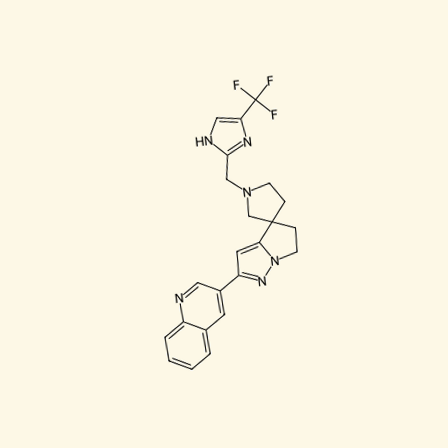 FC(F)(F)c1c[nH]c(CN2CCC3(CCn4nc(-c5cnc6ccccc6c5)cc43)C2)n1